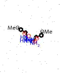 COc1ccc(-c2ccc(C(=O)NC(=N)NNC(N)=NC(=O)c3ccc(-c4cccc(OC)c4)o3)o2)cc1